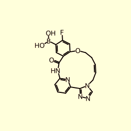 O=C1Nc2cccc(n2)-c2nncn2C/C=C\CCOc2cc(F)c(B(O)O)cc21